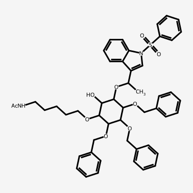 CC(=O)NCCCCCOC1C(O)C(OC(C)c2cn(S(=O)(=O)c3ccccc3)c3ccccc23)C(OCc2ccccc2)C(OCc2ccccc2)C1OCc1ccccc1